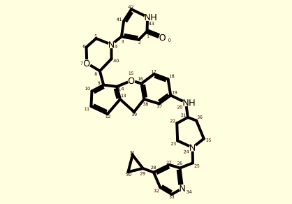 O=c1cc(N2CCOC(c3cccc4c3Oc3ccc(NC5CCN(Cc6cc(C7CC7)ccn6)CC5)cc3C4)C2)cc[nH]1